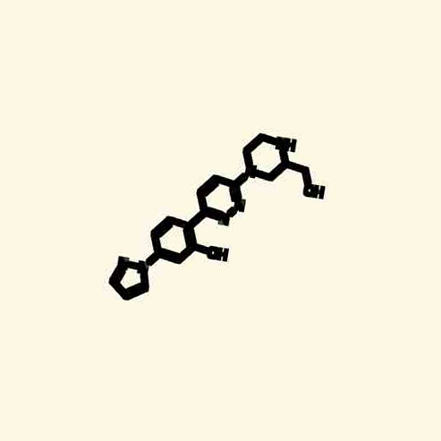 OCC1CN(c2ccc(-c3ccc(-n4cccn4)cc3O)nn2)CCN1